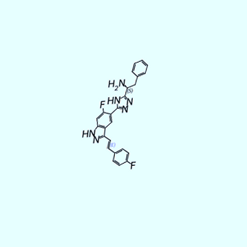 N[C@@H](Cc1ccccc1)c1nnc(-c2cc3c(/C=C/c4ccc(F)cc4)n[nH]c3cc2F)[nH]1